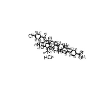 CC(C)C1=C2[C@H]3CC[C@@H]4[C@@]5(C)CC=C(c6ccc(C(=O)O)cc6)C(C)(C)[C@@H]5CC[C@@]4(C)[C@]3(C)CC[C@@]2(C(=O)N(CCN(C)C)[C@H](C)c2ccc(Cl)cc2)CC1=O.Cl